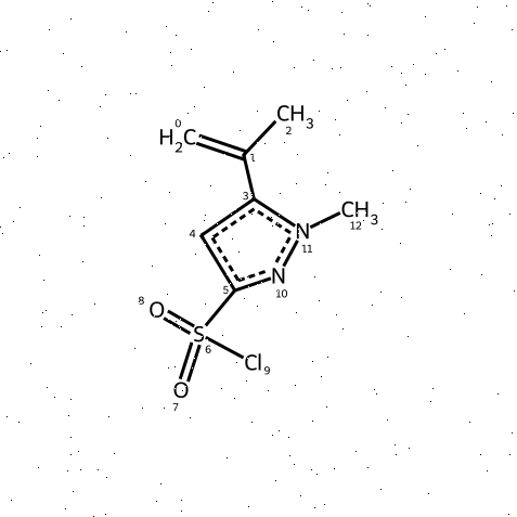 C=C(C)c1cc(S(=O)(=O)Cl)nn1C